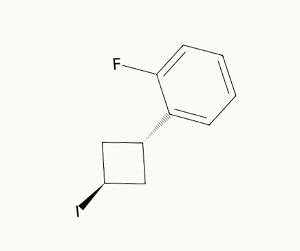 Fc1ccccc1[C@H]1C[C@H](I)C1